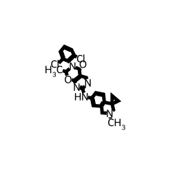 CC1Oc2nc(Nc3ccc4c(c3)CN(C)CC43CC3)ncc2C(=O)N1c1c(Cl)cccc1Cl